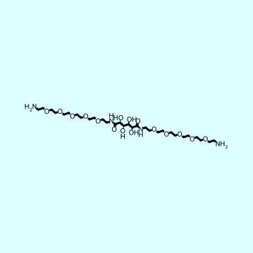 NCCOCCOCCOCCOCCOCCNC(=O)[C@@H](O)[C@H](O)[C@H](O)[C@@H](O)C(=O)NCCOCCOCCOCCOCCOCCN